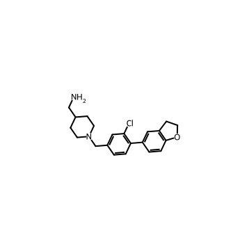 NCC1CCN(Cc2ccc(-c3ccc4c(c3)CCO4)c(Cl)c2)CC1